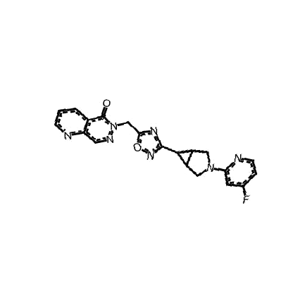 O=c1c2cccnc2cnn1Cc1nc(C2C3CN(c4cc(F)ccn4)CC32)no1